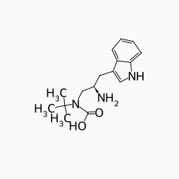 CC(C)(C)N(C[C@H](N)Cc1c[nH]c2ccccc12)C(=O)O